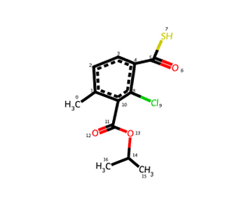 Cc1ccc(C(=O)S)c(Cl)c1C(=O)OC(C)C